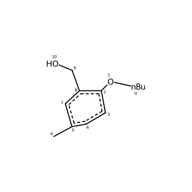 CCCCOc1ccc(C)cc1CO